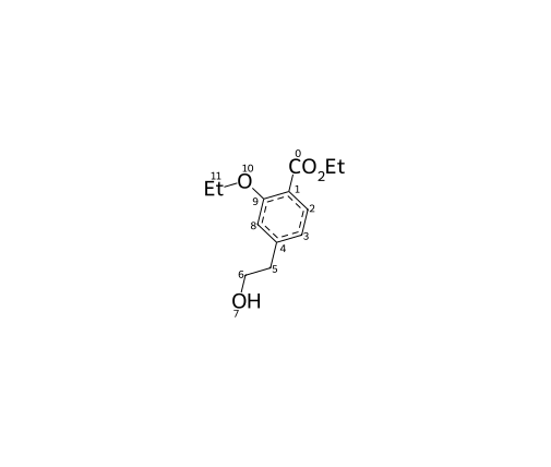 CCOC(=O)c1ccc(CCO)cc1OCC